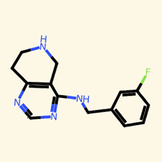 Fc1cccc(CNc2n[c]nc3c2CNCC3)c1